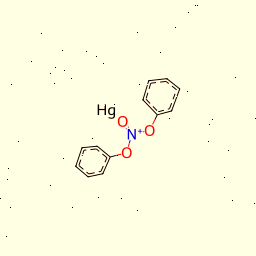 O=[N+](Oc1ccccc1)Oc1ccccc1.[Hg]